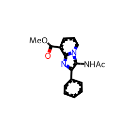 COC(=O)c1cccn2c(NC(C)=O)c(-c3ccccc3)nc12